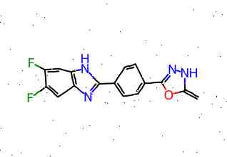 C=C1NN=C(c2ccc(-c3nc4cc(F)c(F)cc4[nH]3)cc2)O1